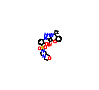 CC[C@@H](Nc1c(Nc2cccc(S(=O)(=O)N3CCN4CCOCC4C3)c2O)c(=O)c1=O)c1ccccc1